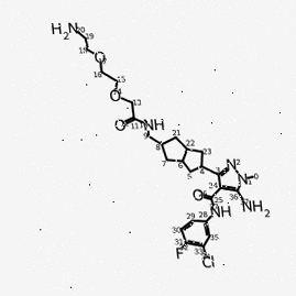 Cn1nc(C2CC3CC(CNC(=O)COCCOCCN)CC3C2)c(C(=O)Nc2ccc(F)c(Cl)c2)c1N